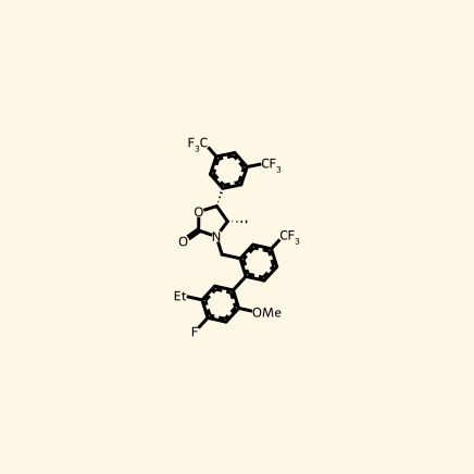 CCc1cc(-c2ccc(C(F)(F)F)cc2CN2C(=O)O[C@H](c3cc(C(F)(F)F)cc(C(F)(F)F)c3)[C@@H]2C)c(OC)cc1F